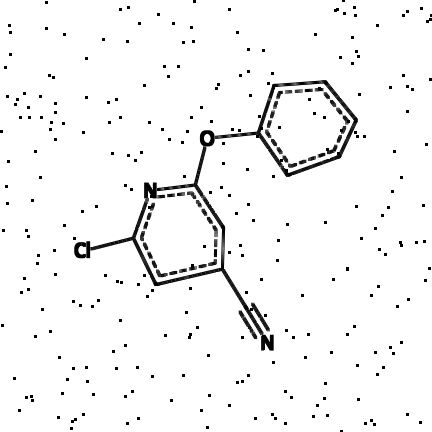 N#Cc1cc(Cl)nc(Oc2ccccc2)c1